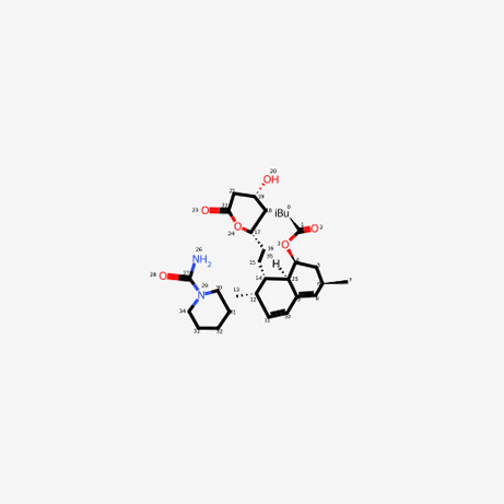 CC[C@H](C)C(=O)O[C@H]1C[C@@H](C)C=C2C=C[C@H](C)[C@H](CC[C@H]3C[C@@H](O)CC(=O)O3)[C@H]21.NC(=O)N1CCCCC1